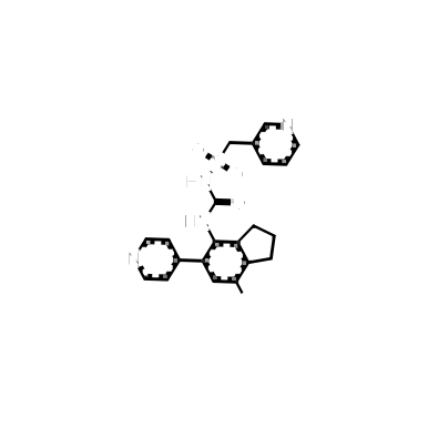 O=C(Nc1c(-c2ccncc2)cc(F)c2c1CCC2)NS(=O)(=O)Cc1cccnc1